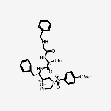 COc1ccc(S(=O)(=O)N(CC(C)C)C[C@@H](O)[C@H](Cc2ccccc2)NC(=O)[C@@H](NC(=O)CNCc2ccccc2)C(C)(C)C)cc1